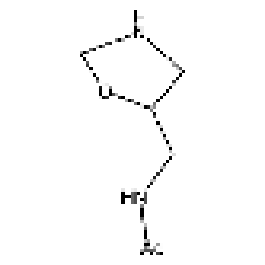 CC(=O)NCC1CNCO1